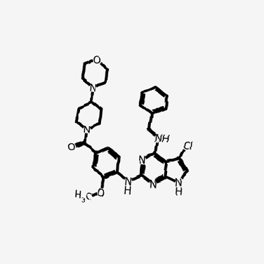 COc1cc(C(=O)N2CCC(N3CCOCC3)CC2)ccc1Nc1nc(NCc2ccccc2)c2c(Cl)c[nH]c2n1